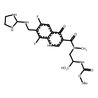 CCCCOC(=O)NC(CN(C)C(=O)c1c[nH]c2c(F)c(CNC3NCCN3)c(F)cc2c1=O)C(=O)O